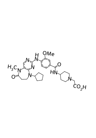 COc1cc(C(=O)NC2CCN(CC(=O)O)CC2)ccc1Nc1ncc2c(n1)N(C1CCCC1)CCC(=O)N2C